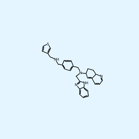 C1=CC2=CC(N(Cc3ccc(CNCc4ccsc4)cc3)Cc3nc4ccccc4[nH]3)CCC2N=C1